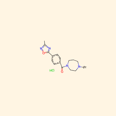 Cc1noc(-c2ccc(C(=O)N3CCCN(C(C)C)CC3)cc2)n1.Cl